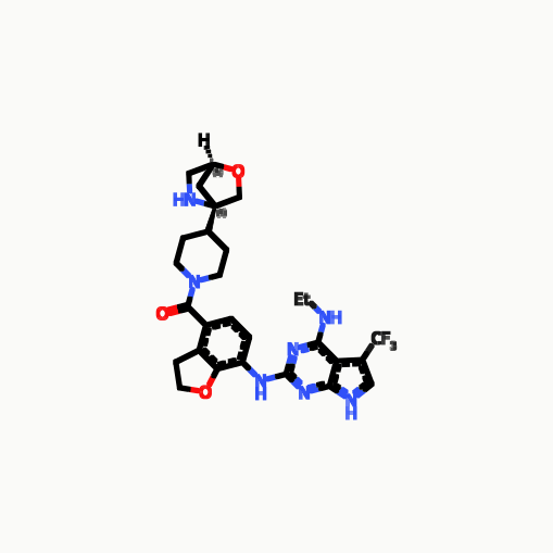 CCNc1nc(Nc2ccc(C(=O)N3CCC([C@@]45CO[C@H](CN4)C5)CC3)c3c2OCC3)nc2[nH]cc(C(F)(F)F)c12